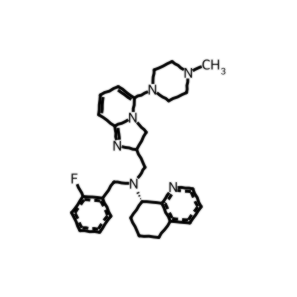 CN1CCN(C2=CC=CC3=NC(CN(Cc4ccccc4F)[C@H]4CCCc5cccnc54)CN23)CC1